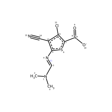 CN(C)/C=N/c1sc([N+](=O)[O-])c(Cl)c1C#N